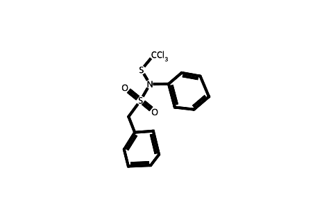 O=S(=O)(Cc1ccccc1)N(SC(Cl)(Cl)Cl)c1ccccc1